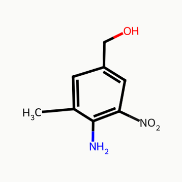 Cc1cc(CO)cc([N+](=O)[O-])c1N